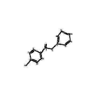 Cc1ccc(NCc2ccncc2)cc1